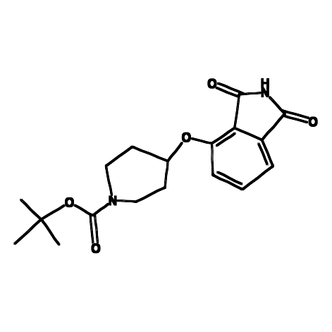 CC(C)(C)OC(=O)N1CCC(Oc2cccc3c2C(=O)NC3=O)CC1